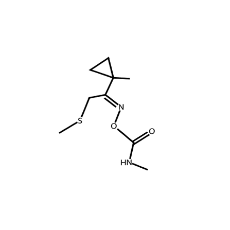 CNC(=O)ON=C(CSC)C1(C)CC1